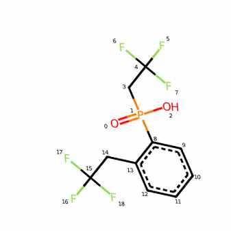 O=P(O)(CC(F)(F)F)c1ccccc1CC(F)(F)F